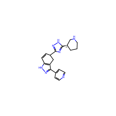 C1=CC(c2n[nH]c([C@@H]3CCCNC3)n2)Cc2c(-c3ccncc3)n[nH]c21